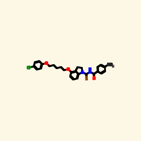 O=C(NC(=S)N1CCc2c(OCCCCCOc3ccc(Cl)cc3)cccc21)c1ccc([N+](=O)[O-])cc1